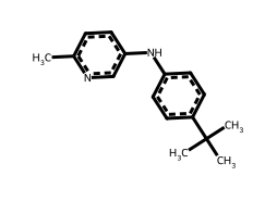 Cc1ccc(Nc2ccc(C(C)(C)C)cc2)cn1